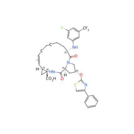 O=C1N[C@]2(C(=O)O)C[C@H]2/C=C\CCCCC[C@H](Nc2cc(F)cc(C(F)(F)F)c2)C(=O)N2C[C@H](Oc3nc(-c4ccccc4)cs3)C[C@@H]12